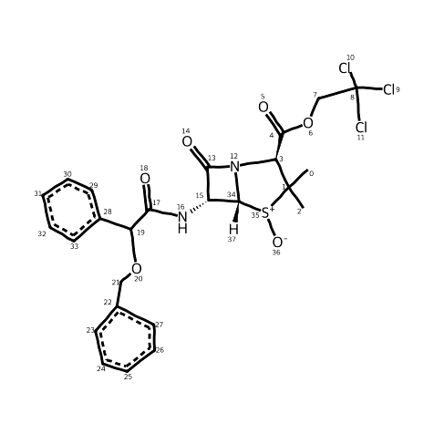 CC1(C)[C@H](C(=O)OCC(Cl)(Cl)Cl)N2C(=O)[C@@H](NC(=O)C(OCc3ccccc3)c3ccccc3)[C@H]2[S+]1[O-]